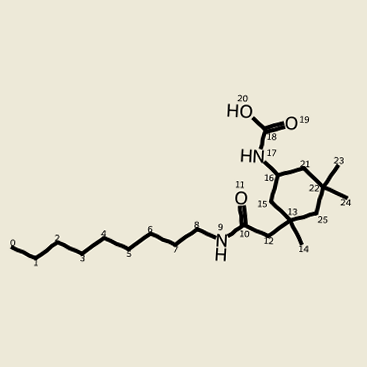 CCCCCCCCCNC(=O)CC1(C)CC(NC(=O)O)CC(C)(C)C1